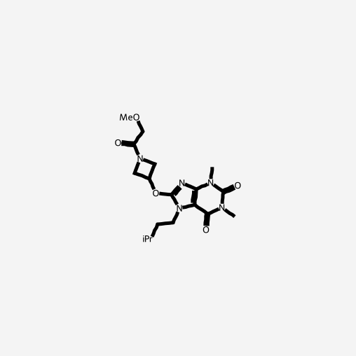 COCC(=O)N1CC(Oc2nc3c(c(=O)n(C)c(=O)n3C)n2CCC(C)C)C1